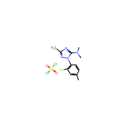 Cc1ccc(-n2nc(C(F)(F)F)nc2N(C)C)c(F)c1.O=S(=O)(Cl)Cl